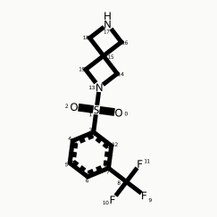 O=S(=O)(c1cccc(C(F)(F)F)c1)N1CC2(CNC2)C1